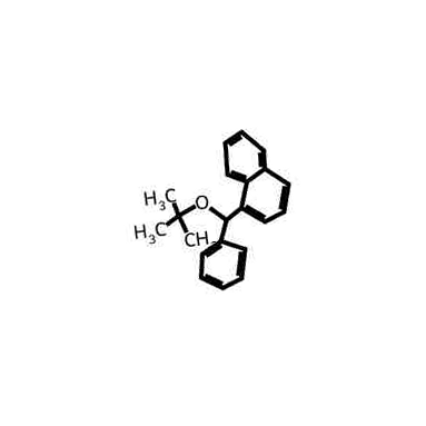 CC(C)(C)OC(c1ccccc1)c1cccc2ccccc12